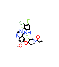 C=CC(=O)N1CCC(Oc2cc3c(Nc4ccc(F)c(Cl)c4F)ncnc3cc2OC)C(F)C1